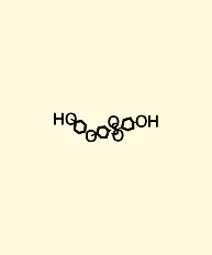 O=S(=O)(c1ccc(O)cc1)c1ccc(Oc2ccc(O)cc2)cc1